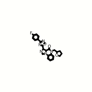 O=C1C2C(c3nc(-c4ccc(F)cc4)no3)N=CN2c2ccccc2N1CC1CCCO1